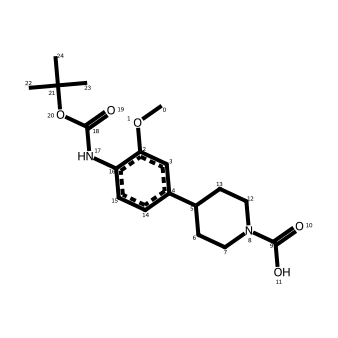 COc1cc(C2CCN(C(=O)O)CC2)ccc1NC(=O)OC(C)(C)C